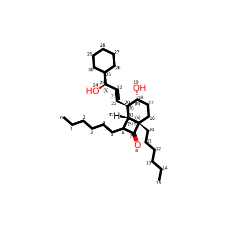 CCCCCCC1C(=O)[C@@]2(CCCCCC)CC[C@@H](O)[C@H](/C=C/[C@@H](O)C3CCCCC3)[C@@H]12